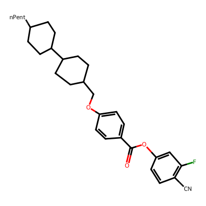 CCCCCC1CCC(C2CCC(COc3ccc(C(=O)Oc4ccc(C#N)c(F)c4)cc3)CC2)CC1